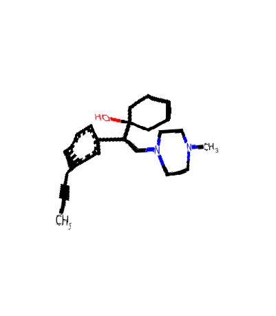 CC#Cc1cccc(C(CN2CCN(C)CC2)C2(O)CCCCC2)c1